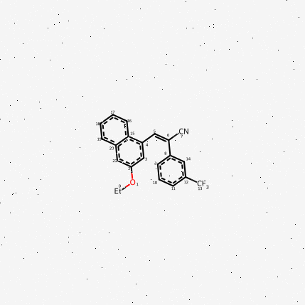 CCOc1cc(C=C(C#N)c2cccc(C(F)(F)F)c2)c2ccccc2c1